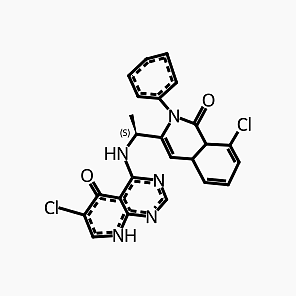 C[C@H](Nc1ncnc2[nH]cc(Cl)c(=O)c12)C1=CC2C=CC=C(Cl)C2C(=O)N1c1ccccc1